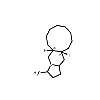 CC1CCC2C[C@H]3CCCCCCCC[C@H]3CN12